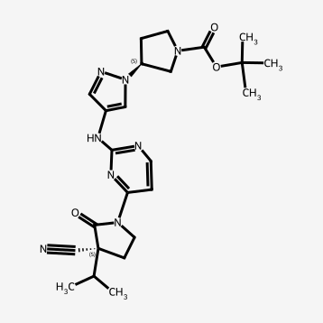 CC(C)[C@]1(C#N)CCN(c2ccnc(Nc3cnn([C@H]4CCN(C(=O)OC(C)(C)C)C4)c3)n2)C1=O